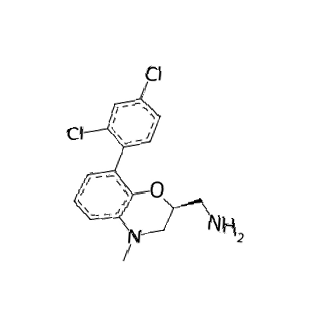 CN1C[C@H](CN)Oc2c(-c3ccc(Cl)cc3Cl)cccc21